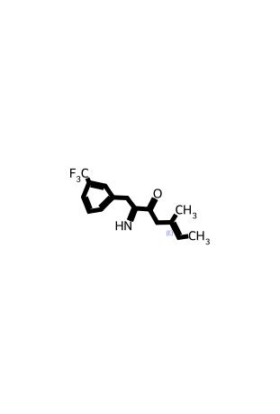 C/C=C(\C)CC(=O)C(=N)Cc1cccc(C(F)(F)F)c1